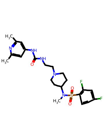 Cc1cc(NC(=O)NCCN2CCC(N(C)S(=O)(=O)c3ccc(F)cc3F)CC2)cc(C)n1